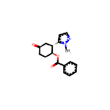 Cn1nccc1[C@H]1CC(=O)CC[C@@H]1OC(=O)c1ccccc1